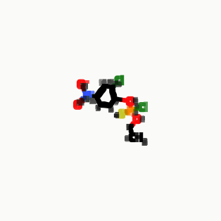 CCOP(=S)(Cl)Oc1ccc([N+](=O)[O-])cc1Cl